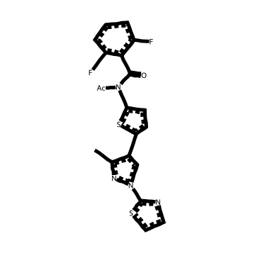 CC(=O)N(C(=O)c1c(F)cccc1F)c1ccc(-c2cn(-c3nccs3)nc2C)s1